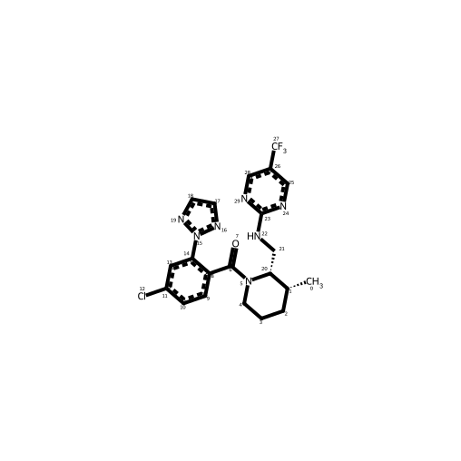 C[C@@H]1CCCN(C(=O)c2ccc(Cl)cc2-n2nccn2)[C@@H]1CNc1ncc(C(F)(F)F)cn1